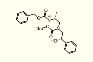 C[C@H](CN(C[C@@H](O)c1ccccc1)C(=O)OC(C)(C)C)NC(=O)OCc1ccccc1